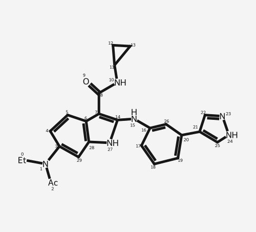 CCN(C(C)=O)c1ccc2c(C(=O)NC3CC3)c(Nc3cccc(-c4cn[nH]c4)c3)[nH]c2c1